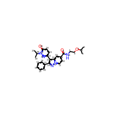 CC(C)OCCNC(=O)c1ccn2nc(-c3ccccc3)c(-c3ccc(=O)n(C(C)C)n3)c2c1